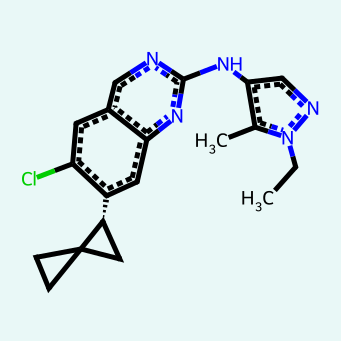 CCn1ncc(Nc2ncc3cc(Cl)c([C@@H]4CC45CC5)cc3n2)c1C